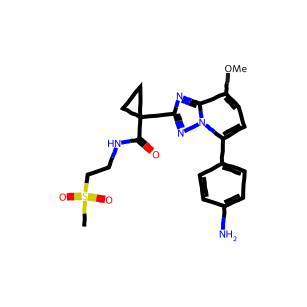 COc1ccc(-c2ccc(N)cc2)n2nc(C3(C(=O)NCCS(C)(=O)=O)CC3)nc12